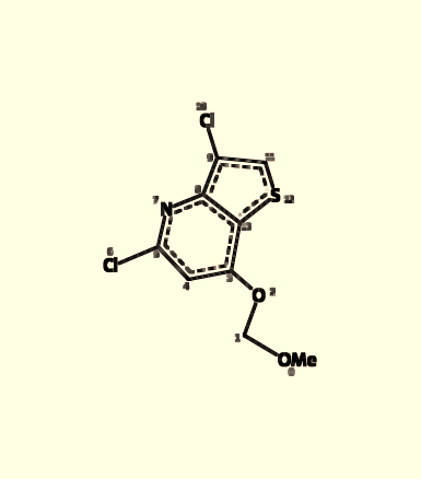 COCOc1cc(Cl)nc2c(Cl)csc12